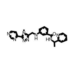 CC(NC(=O)c1cccc(NCc2nnc(-c3ccncn3)n2C)c1)c1ccccn1